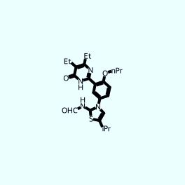 CCCOc1ccc(N2C=C(C(C)C)SC2NC=O)cc1-c1nc(CC)c(CC)c(=O)[nH]1